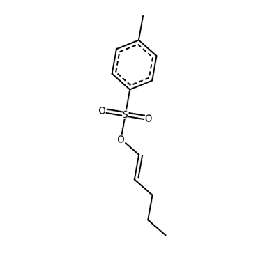 CCCC=COS(=O)(=O)c1ccc(C)cc1